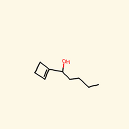 CCCCC(O)C1=CCC1